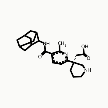 Cc1nc([C@]2(CC(=O)O)CCCNC2)ccc1C(=O)NC1C2CC3CC(C2)CC1C3